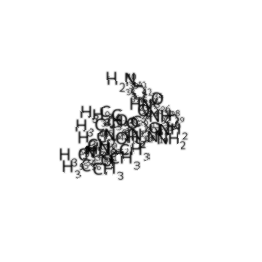 CC[C@H](C)[C@@H]([C@@H](CC(=O)N1CCC[C@H]1[C@H](OC(N)(N)N)[C@@H](C)C(=O)N[C@@H](Cc1ccccc1)C(=O)Nc1ccc(N)cc1)OC)N(C)C(=O)[C@@H](NC(=O)[C@H](C(C)C)N(C)C)C(C)C